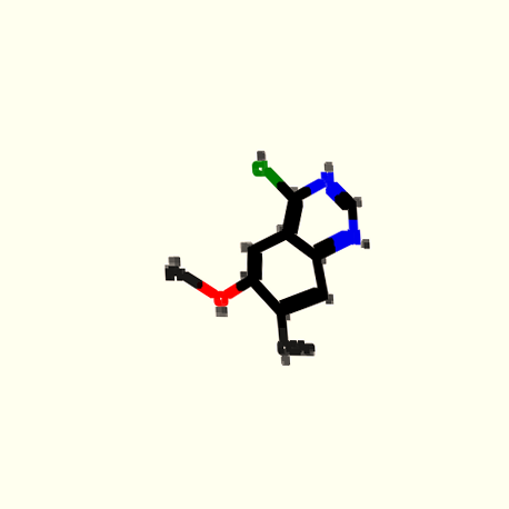 COc1cc2ncnc(Cl)c2cc1OC(C)C